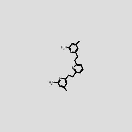 Cc1cc(N)nc(CCc2cccc(CCc3cc(C)cc(N)n3)n2)c1